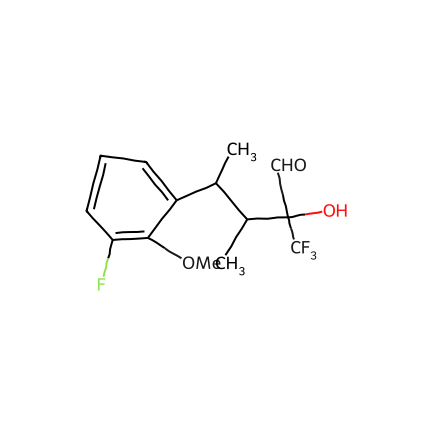 COc1c(F)cccc1C(C)C(C)C(O)(C=O)C(F)(F)F